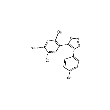 CCc1cc(-c2oncc2-c2ccc(Br)cc2)c(O)cc1OC